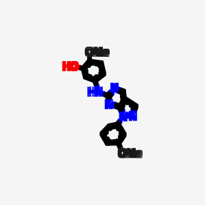 COc1cccc(-n2ncc3cnc(Nc4ccc(OC)c(O)c4)nc32)c1